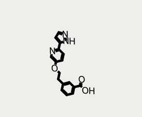 O=C(O)c1cccc(CCOc2ccc(-c3ccn[nH]3)nc2)c1